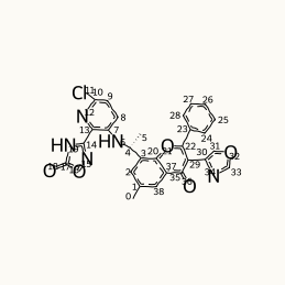 Cc1cc([C@@H](C)Nc2ccc(Cl)nc2-c2noc(=O)[nH]2)c2oc(-c3ccccc3)c(-c3cocn3)c(=O)c2c1